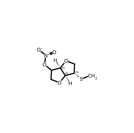 CS[C@H]1CO[C@@H]2C(O[N+](=O)[O-])CO[C@H]12